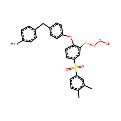 COc1ccc(Cc2ccc(Oc3ccc(S(=O)(=O)c4ccc(C)c(C)c4)cc3SOOO)cc2)cc1